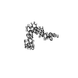 Cn1c(C(=O)Nc2cccc(-c3cccc(-c4nc5cc(CO)c(OC(F)F)cc5o4)c3F)c2Cl)nc2c1CCN(C(=O)OC(C)(C)C)C2